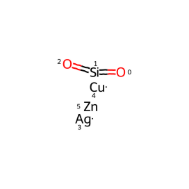 O=[Si]=O.[Ag].[Cu].[Zn]